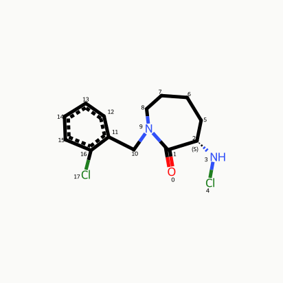 O=C1[C@@H](NCl)CCCCN1Cc1ccccc1Cl